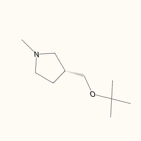 CN1CC[C@@H](COC(C)(C)C)C1